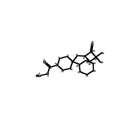 CC(C)(C)OC(=O)N1CCC(CN2CC(C)(C)C2=O)(C2CCCCC2)CC1